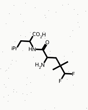 CC(C)CC(NC(=O)C(N)CC(C)(C)C(F)F)C(=O)O